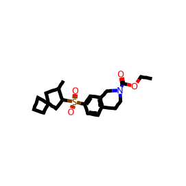 CCOC(=O)N1CCc2ccc(S(=O)(=O)C3CC4(CCC4)CC3C)cc2C1